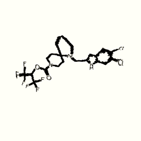 O=C(OC(C(F)(F)F)C(F)(F)F)N1CCC2(CCCN2Cc2cc3cc(Cl)c(Cl)cc3[nH]2)CC1